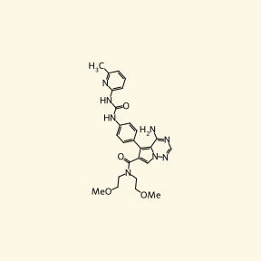 COCCN(CCOC)C(=O)c1cn2ncnc(N)c2c1-c1ccc(NC(=O)Nc2cccc(C)n2)cc1